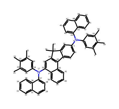 Cc1cc(N(c2ccc3c(c2)C(C)(C)c2cc(N(c4cc(C)c(C)c(C)c4)c4cccc5ccccc45)c4ccccc4c2-3)c2cccc3ccccc23)cc(C)c1C